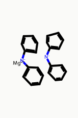 [Mg+2].c1ccc([N-]c2ccccc2)cc1.c1ccc([N-]c2ccccc2)cc1